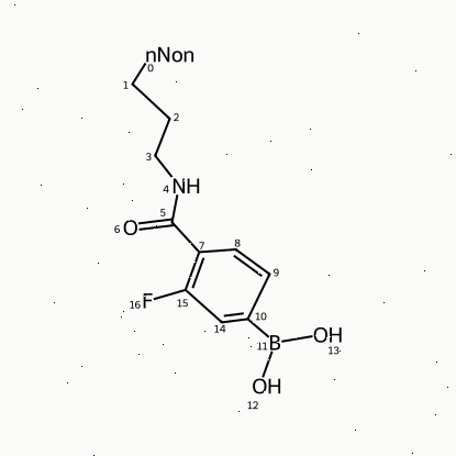 CCCCCCCCCCCCNC(=O)c1ccc(B(O)O)cc1F